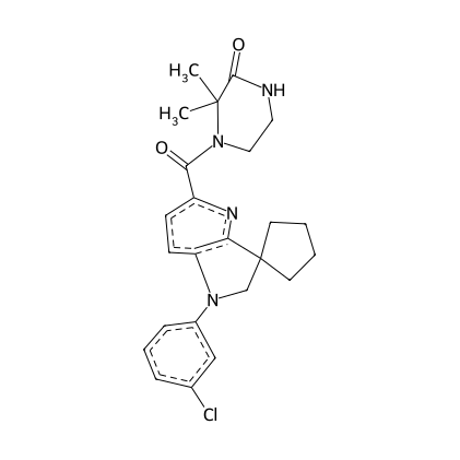 CC1(C)C(=O)NCCN1C(=O)c1ccc2c(n1)C1(CCCC1)CN2c1cccc(Cl)c1